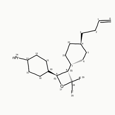 C=CCC[C@H]1CC[C@H]([C@H]2[C@H](C3CCC(CCC)CC3)OC2(F)F)CC1